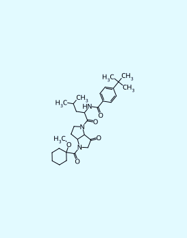 COC1(C(=O)N2CC(=O)C3C2CCN3C(=O)C(CC(C)C)NC(=O)c2ccc(C(C)(C)C)cc2)CCCCC1